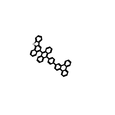 c1ccc2c(c1)oc1c3ccccc3c(-c3c4ccccc4c(-c4ccc(-c5ccc6c7ccccc7c7ccccc7c6c5)cc4)c4ccccc34)cc21